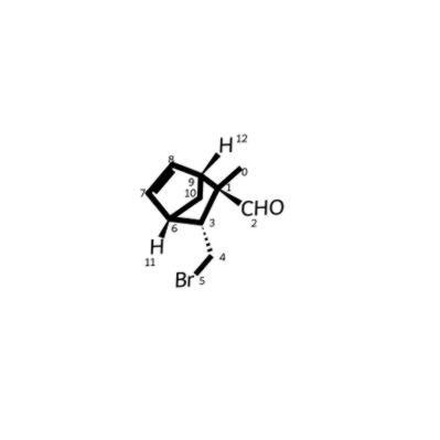 C[C@]1(C=O)[C@H](CBr)[C@@H]2C=C[C@H]1C2